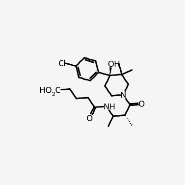 CC(NC(=O)CCCC(=O)O)[C@@H](C)C(=O)N1CC[C@](O)(c2ccc(Cl)cc2)C(C)(C)C1